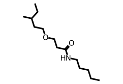 CCCCCNC(=O)CCOCCC(C)CC